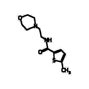 Cc1ccc(C(=O)NCCN2CCOCC2)s1